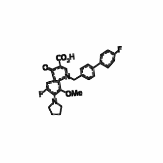 COc1c(N2CCCC2)c(F)cc2c(=O)c(C(=O)O)cn(Cc3ccc(-c4ccc(F)cc4)cc3)c12